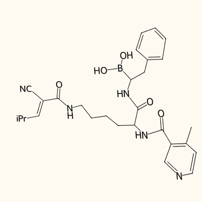 Cc1ccncc1C(=O)NC(CCCCNC(=O)C(C#N)=CC(C)C)C(=O)NC(Cc1ccccc1)B(O)O